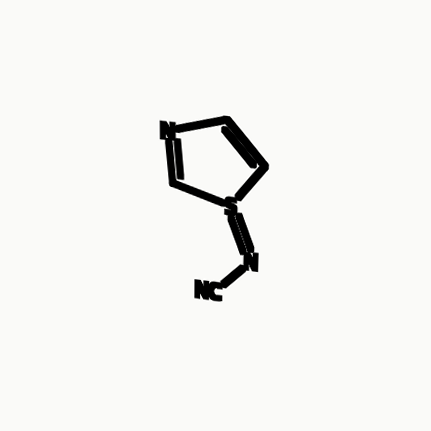 N#CN=S1C=CN=C1